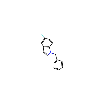 Fc1ccc2c(ccn2Cc2ccccc2)c1